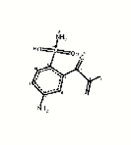 C=C(C)C(=O)c1cc(N)ccc1S(N)(=O)=O